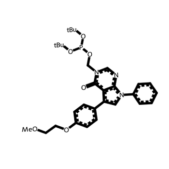 COCCOc1ccc(-c2cn(-c3ccccc3)c3ncn(COP(OC(C)(C)C)OC(C)(C)C)c(=O)c23)cc1